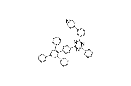 c1ccc(-c2cc(-c3ccccc3)c(-c3ccc(-c4nc(-c5ccccc5)nc(-c5cccc(-c6ccncc6)c5)n4)cc3)c(-c3ccccc3)c2)cc1